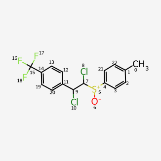 Cc1ccc([S+]([O-])C(Cl)C(Cl)c2ccc(C(F)(F)F)cc2)cc1